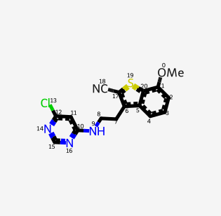 COc1cccc2c(CCNc3cc(Cl)ncn3)c(C#N)sc12